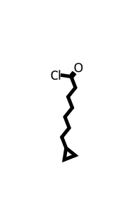 O=C(Cl)CCCCCCC1CC1